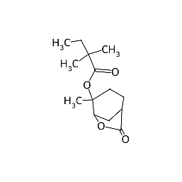 CCC(C)(C)C(=O)OC1(C)CCC2CC1OC2=O